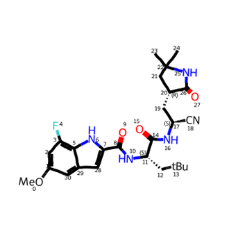 COc1cc(F)c2[nH]c(C(=O)N[C@@H](CC(C)(C)C)C(=O)N[C@H](C#N)C[C@@H]3CC(C)(C)NC3=O)cc2c1